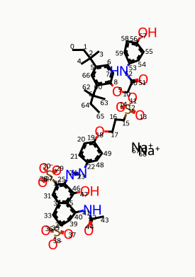 CCC(C)(C)c1ccc(OC(OS(=O)(=O)CCCOc2ccc(N=Nc3c(S(=O)(=O)[O-])cc4cc(S(=O)(=O)[O-])cc(NC(C)=O)c4c3O)cc2)C(=O)Nc2ccc(O)cc2)c(C(C)(C)CC)c1.[Na+].[Na+]